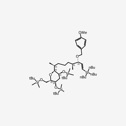 CCC[CH2][Sn]([CH]=C[C@@H](OCc1ccc(OC)cc1)[C@@H](C)CCC[C@H](C)[C@@H]1O[C@H](CO[Si](C)(C)C(C)(C)C)[C@H](O[Si](C)(C)C(C)(C)C)C[C@@H]1O[Si](C)(C)C(C)(C)C)([CH2]CCC)[CH2]CCC